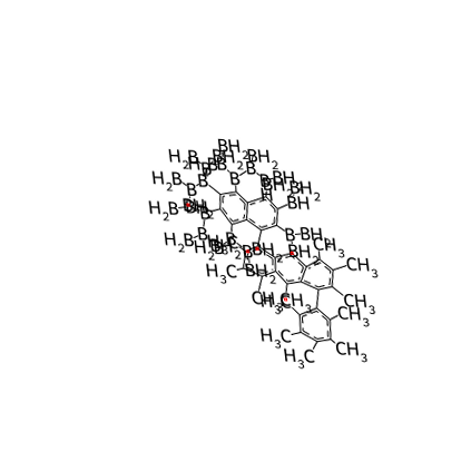 BBB(B)B(B(B)B)c1c(B(B(B)B)B(B)B)c(B(BB)B(B)B)c(B(B)B(B)B)c2c(-c3c(C)c(C)c(C)c4c(C)c5c(-c6c(C)c(C)c(C)c(C)c6C)c(C)c(C)c(C)c5cc34)c(B(B)B)c(BB)c(B)c12